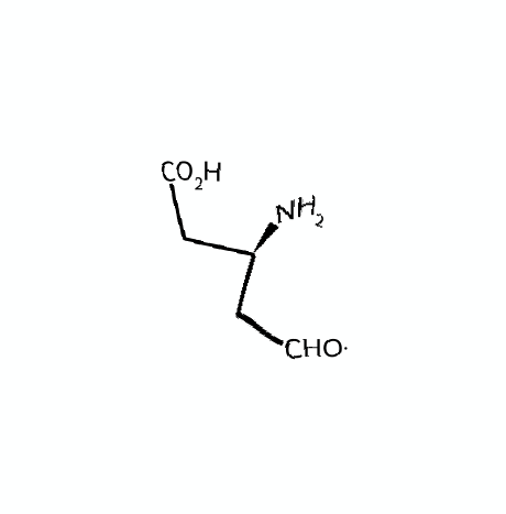 N[C@@H](C[C]=O)CC(=O)O